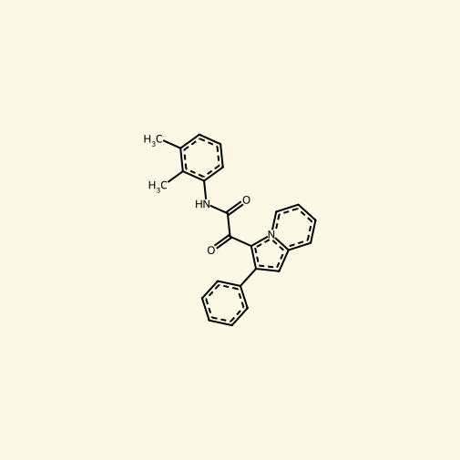 Cc1cccc(NC(=O)C(=O)c2c(-c3ccccc3)cc3ccccn23)c1C